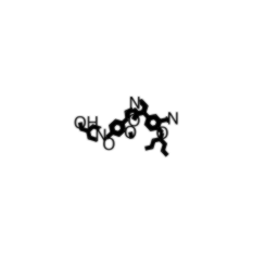 CCCC(CCC)Oc1ccc(-c2ccnc3cc(-c4ccc(C(=O)N5CCC(CO)CC5)cc4OC)oc23)cc1C#N